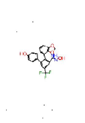 N/C(=N\O)c1cc(C(F)(F)F)cc(-c2ccc(O)cc2)c1-c1cccc2c1OCO2